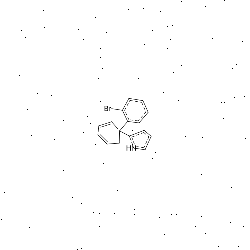 Brc1ccccc1C1(c2ccc[nH]2)C=CC=CC1